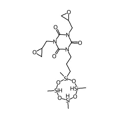 C[SiH]1O[SiH](C)O[Si](C)(CCCn2c(=O)n(CC3CO3)c(=O)n(CC3CO3)c2=O)O[SiH](C)O1